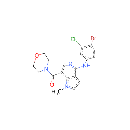 Cn1ccc2c(Nc3ccc(Br)c(Cl)c3)ncc(C(=O)N3CCOCC3)c21